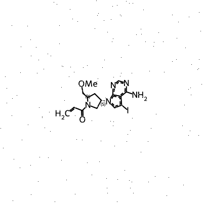 C=CC(=O)N1C[C@@H](n2cc(I)c3c(N)ncnc32)C[C@@H]1COC